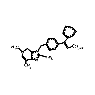 CCCCc1nc2c(n1Cc1ccc(C(=CC(=O)OCC)c3ccccc3)cc1)CN(C)C=C2C